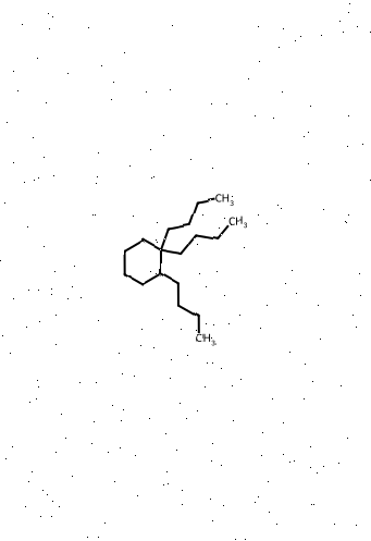 CCCC[C]1CCCCC1(CCCC)CCCC